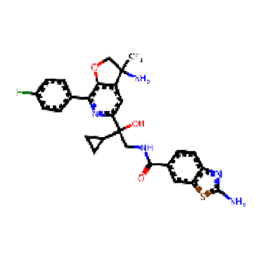 Nc1nc2ccc(C(=O)NCC(O)(c3cc4c(c(-c5ccc(F)cc5)n3)OCC4(N)C(F)(F)F)C3CC3)cc2s1